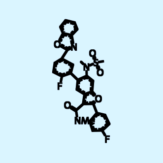 CNC(=O)c1c(-c2ccc(F)cc2)oc2cc(N(C)S(C)(=O)=O)c(-c3cc(-c4nc5ccccc5o4)ccc3F)cc12